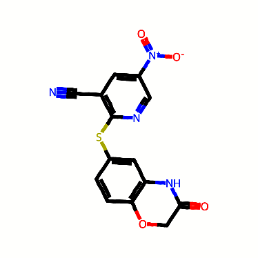 N#Cc1cc([N+](=O)[O-])cnc1Sc1ccc2c(c1)NC(=O)CO2